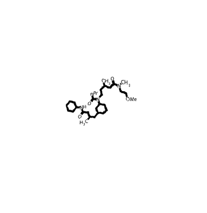 CCCC(=O)N(CCC(C)CC(=O)N(C)CCOC)C1CCCC(CC(C)CC(=O)NC2CCCCC2)C1